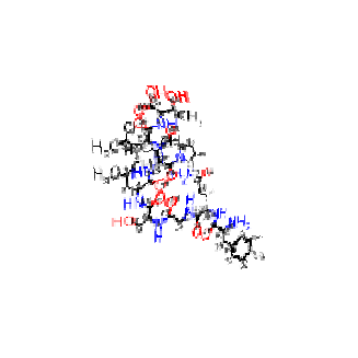 CC(C)C[C@H](NC(=O)[C@H](CO)NC(=O)CNC(=O)[C@H](CCC(N)=O)NC(=O)[C@@H](N)Cc1ccccc1)C(=O)N[C@H](C(=O)N1CCC[C@H]1C(=O)N[C@@H](CC(C)C)C(=O)N[C@H](C(=O)O)[C@@H](C)O)C(C)C